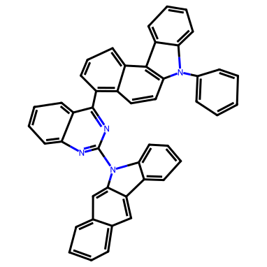 c1ccc(-n2c3ccccc3c3c4cccc(-c5nc(-n6c7ccccc7c7cc8ccccc8cc76)nc6ccccc56)c4ccc32)cc1